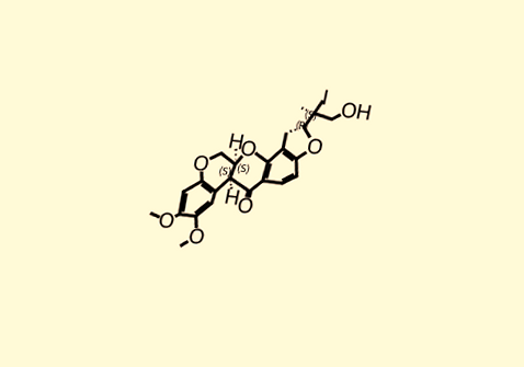 COc1cc2c(cc1OC)[C@@H]1C(=O)c3ccc4c(c3O[C@@H]1CO2)C[C@H]([C@@](C)(I)CO)O4